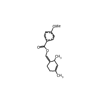 COc1ccc(C(=O)OC=C2CCC(C)=CC2C)cc1